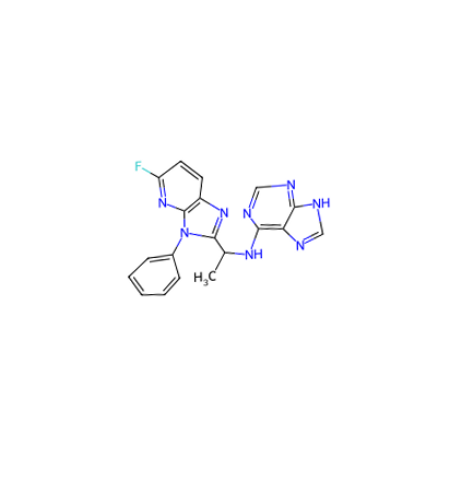 CC(Nc1ncnc2[nH]cnc12)c1nc2ccc(F)nc2n1-c1ccccc1